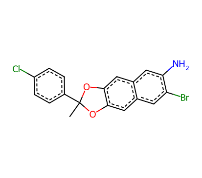 CC1(c2ccc(Cl)cc2)Oc2cc3cc(N)c(Br)cc3cc2O1